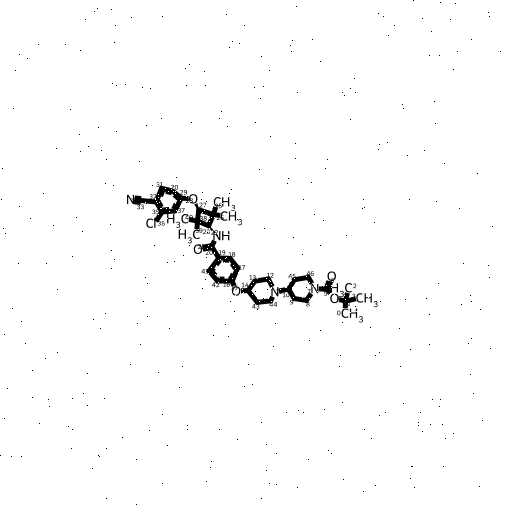 CC(C)(C)OC(=O)N1CCC(N2CCC(Oc3ccc(C(=O)N[C@H]4C(C)(C)[C@H](Oc5ccc(C#N)c(Cl)c5)C4(C)C)cc3)CC2)CC1